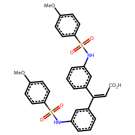 COc1ccc(S(=O)(=O)Nc2cccc(C(=CC(=O)O)c3cccc(NS(=O)(=O)c4ccc(OC)cc4)c3)c2)cc1